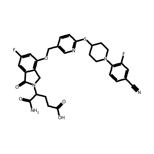 N#Cc1ccc(N2CCC(Sc3ccc(COc4cc(F)cc5c4CN(C(CCC(=O)O)C(N)=O)C5=O)cn3)CC2)c(F)c1